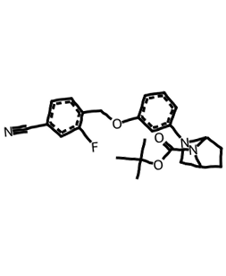 CC(C)(C)OC(=O)N1C2CCC1N(c1cccc(OCc3ccc(C#N)cc3F)c1)C2